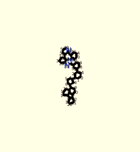 c1cc(-c2cccc(-c3ccc4c5c(cccc35)-c3ccccc3-4)c2)cc(-c2cccc(-c3nc4cccc5c4n3-c3ccccc3-c3ncccc3-5)c2)c1